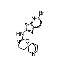 Brc1ccc2nc(NC3=NCCC4(CN5CCC4CC5)O3)sc2n1